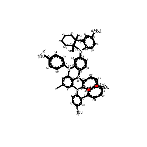 Cc1cc2c3c(c1)N(c1ccc(C(C)(C)C)cc1-c1ccccc1)c1cc(C(C)(C)C)ccc1B3c1ccc(N3c4ccc(C(C)(C)C)cc4C4(C)CCCCC34C)cc1N2c1ccc(C(C)(C)C)cc1